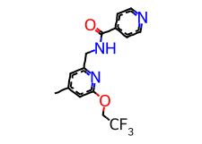 Cc1cc(CNC(=O)c2ccncc2)nc(OCC(F)(F)F)c1